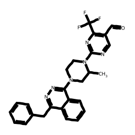 CC1CN(c2nnc(Cc3ccccc3)c3ccccc23)CCN1c1ncc(C=O)c(C(F)(F)F)n1